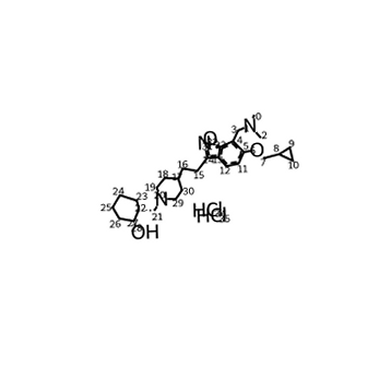 CN(C)Cc1c(OCC2CC2)ccc2c(CCC3CCN(C[C@H]4CCCC[C@H]4O)CC3)noc12.Cl.Cl